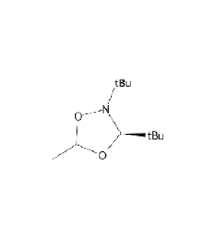 CC1O[C@H](C(C)(C)C)N(C(C)(C)C)O1